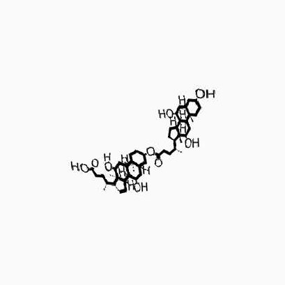 C[C@H](CCC(=O)O[C@@H]1CC[C@@]2(C)[C@@H](C1)C[C@H](O)[C@@H]1[C@@H]2C[C@H](O)[C@]2(C)[C@@H]([C@H](C)CCC(=O)O)CC[C@@H]12)[C@H]1CC[C@H]2[C@@H]3[C@H](O)C[C@@H]4C[C@H](O)CC[C@]4(C)[C@H]3C[C@H](O)[C@]12C